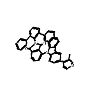 Cc1cnccc1-c1ccc2c(c1)c1ccccc1n2-c1cccc2c1C(=O)N(c1c(-c3ccccc3)cccc1-c1ccccc1)C2=O